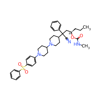 CCC[C@H](CC(C#N)(c1ccccc1)C1CCN(C2CCN(c3ccc(S(=O)(=O)c4ccccc4)cc3)CC2)CC1)OC(=O)NC